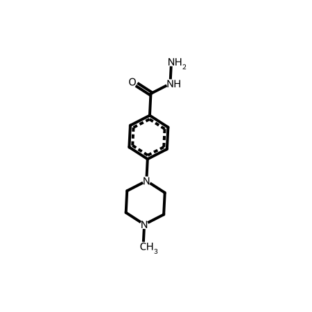 CN1CCN(c2ccc(C(=O)NN)cc2)CC1